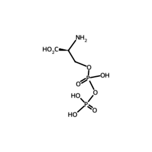 N[C@@H](COP(=O)(O)OP(=O)(O)O)C(=O)O